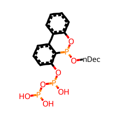 CCCCCCCCCCOP1Oc2ccccc2-c2cccc(OP(O)OP(O)O)c21